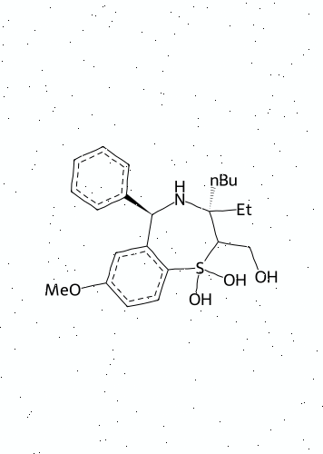 CCCC[C@@]1(CC)N[C@H](c2ccccc2)c2cc(OC)ccc2S(O)(O)C1CO